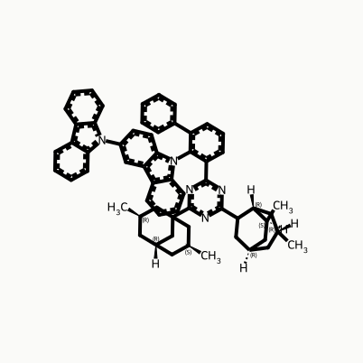 C[C@@H]1C[C@H]2CC(c3nc(-c4cccc(-c5ccccc5)c4-n4c5ccccc5c5cc(-n6c7ccccc7c7ccccc76)ccc54)nc(C45C[C@H](C)C[C@@H](C[C@H](C)C4)C5)n3)[C@H](C1)[C@@H](C)C2